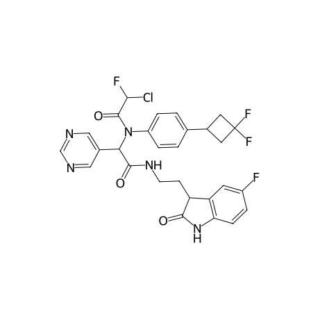 O=C1Nc2ccc(F)cc2C1CCNC(=O)C(c1cncnc1)N(C(=O)C(F)Cl)c1ccc(C2CC(F)(F)C2)cc1